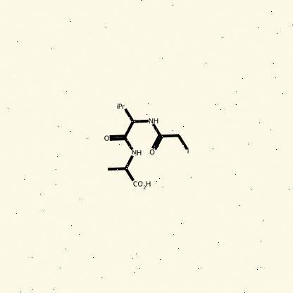 CC(NC(=O)C(NC(=O)CI)C(C)C)C(=O)O